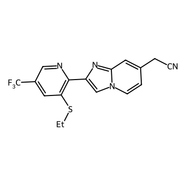 CCSc1cc(C(F)(F)F)cnc1-c1cn2ccc(CC#N)cc2n1